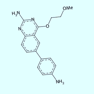 COCCOc1nc(N)nc2ccc(-c3ccc(N)cc3)cc12